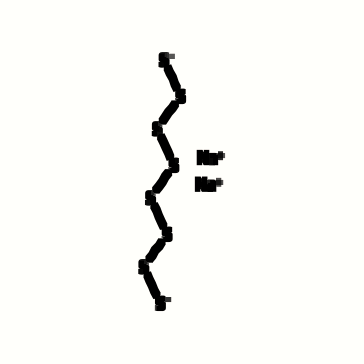 [Na+].[Na+].[S-]SSSSSS[S-]